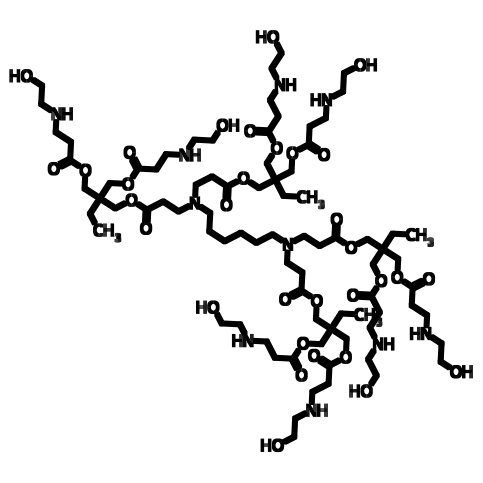 CCC(COC(=O)CCNCCO)(COC(=O)CCNCCO)COC(=O)CCN(CCCCCCN(CCC(=O)OCC(CC)(COC(=O)CCNCCO)COC(=O)CCNCCO)CCC(=O)OCC(CC)(COC(=O)CCNCCO)COC(=O)CCNCCO)CCC(=O)OCC(CC)(COC(=O)CCNCCO)COC(=O)CCNCCO